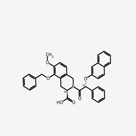 COc1ccc2c(c1OCc1ccccc1)C[C@H](C(=O)O)N(C(=O)[C@H](Oc1ccc3ccccc3c1)c1ccccc1)C2